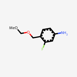 COCOCc1ccc(N)cc1F